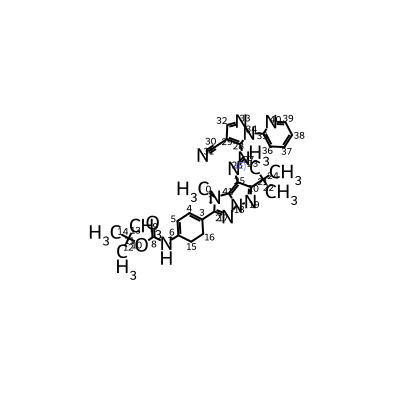 Cn1c(C2=CC=C(NC(=O)OC(C)(C)C)CC2)nn2nc(C(C)(C)C)c(/N=N/c3c(C#N)cnn3-c3ccccn3)c12